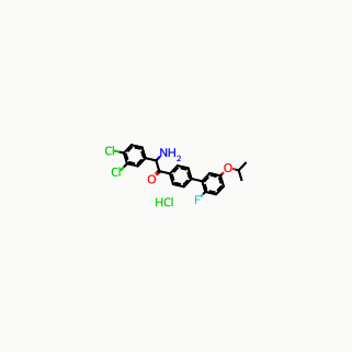 CC(C)Oc1ccc(F)c(-c2ccc(C(=O)C(N)c3ccc(Cl)c(Cl)c3)cc2)c1.Cl